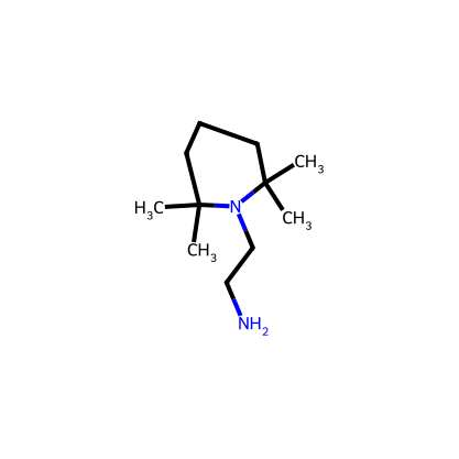 CC1(C)CCCC(C)(C)N1CCN